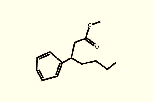 CCCCC(CC(=O)OC)c1ccccc1